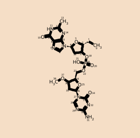 CC[C@H]1O[C@@H](n2cnc3c(=O)[nH]c(C)nc32)CC1OP(=O)(O)OC[C@H]1O[C@@H](n2cnc(N)nc2=O)CC1OC